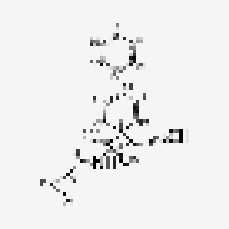 C#CCC1(S(=O)(=O)NCC2CC2)C=CC(c2ccccc2)=CC1